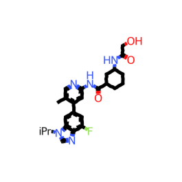 Cc1cnc(NC(=O)C2CCCC(NC(=O)CO)C2)cc1-c1cc(F)c2ncn(C(C)C)c2c1